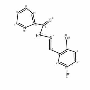 O=C(NN=Cc1cc(Br)ccc1O)c1ccccn1